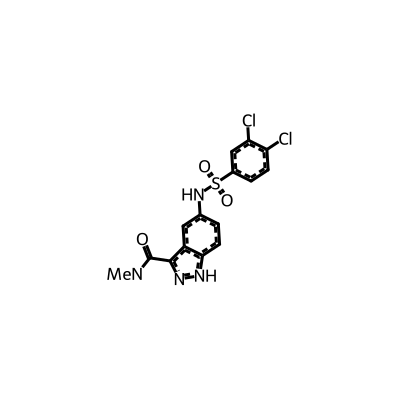 CNC(=O)c1n[nH]c2ccc(NS(=O)(=O)c3ccc(Cl)c(Cl)c3)cc12